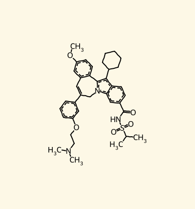 COc1ccc2c(c1)C=C(c1cccc(OCCN(C)C)c1)Cn1c-2c(C2CCCCC2)c2ccc(C(=O)NS(=O)(=O)C(C)C)cc21